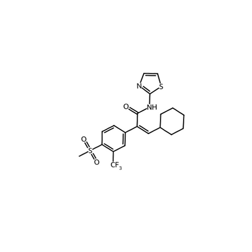 CS(=O)(=O)c1ccc(C(=CC2CCCCC2)C(=O)Nc2nccs2)cc1C(F)(F)F